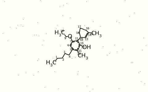 CCCCCc1cc(OCC)c([C@@H]2C=C(C)CCC2)c(O)c1C